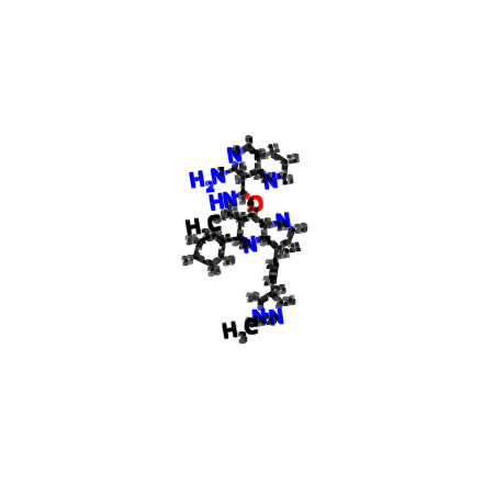 C[C@H](NC(=O)c1c(N)ncc2cccnc12)c1cc2nccc(C#Cc3cnn(C)c3)c2nc1-c1ccccc1